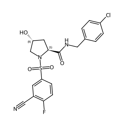 N#Cc1cc(S(=O)(=O)N2C[C@H](O)C[C@H]2C(=O)NCc2ccc(Cl)cc2)ccc1F